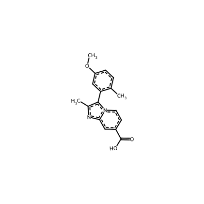 COc1ccc(C)c(-c2c(C)nc3cc(C(=O)O)ccn23)c1